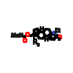 CCN1C(=O)CC[C@@]2(C)C1CC[C@@H]1[C@H]2CC[C@]2(C)C(COC(=O)NC)CC[C@@H]12